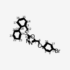 Brc1ccc(OCc2nnc(SCc3ccccc3-c3ccccc3)o2)cc1